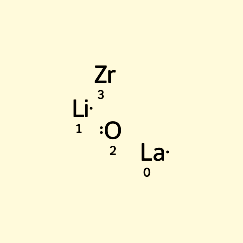 [La].[Li].[O].[Zr]